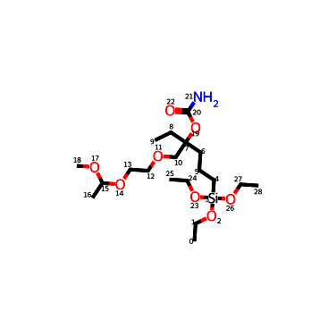 CCO[Si](CCCC(CC)(COCCOC(C)OC)OC(N)=O)(OCC)OCC